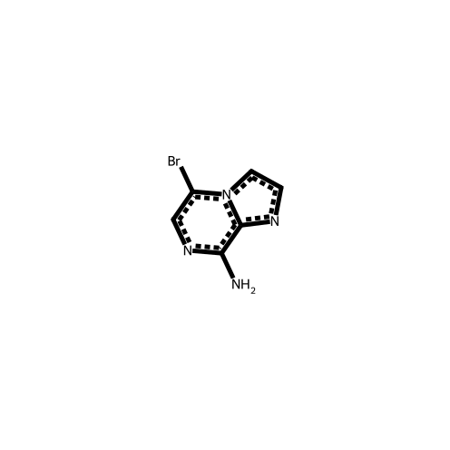 Nc1ncc(Br)n2ccnc12